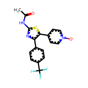 CC(=O)Nc1nc(-c2ccc(C(F)(F)F)cc2)c(-c2cc[n+]([O-])cc2)s1